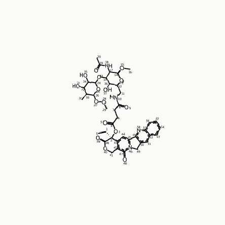 CC[C@@]1(OC(=O)CCC(=O)NCC2OC(OC)C(NC(C)=O)C(OC3OC(OOC)C(C)C(O)C3O)C2O)C(=O)OCc2c1cc1n(c2=O)Cc2cc3ccccc3nc2-1